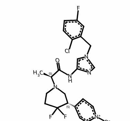 C[C@@H](C(=O)Nc1cn(Cc2cc(F)ccc2Cl)cn1)N1CCC(F)(F)[C@@H](c2cc[n+]([O-])cc2)C1